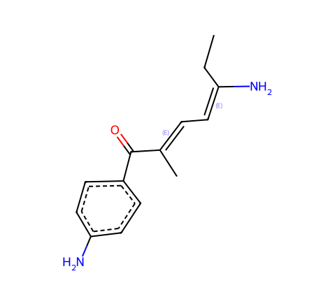 CC/C(N)=C\C=C(/C)C(=O)c1ccc(N)cc1